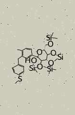 CSc1ccc(Cc2cc([C@]3(O)O[C@H](CO[Si](C)(C)C)C(O[Si](C)(C)C)[C@H](O[Si](C)(C)C)[C@H]3O[Si](C)(C)C)ccc2C)cc1